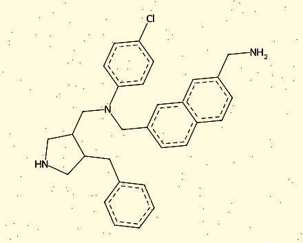 NCc1ccc2ccc(CN(CC3CNCC3Cc3ccccc3)c3ccc(Cl)cc3)cc2c1